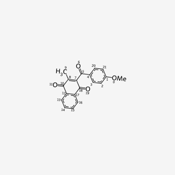 COc1ccc(C(=O)C2=C(C)C(=O)c3ccccc3C2=O)cc1